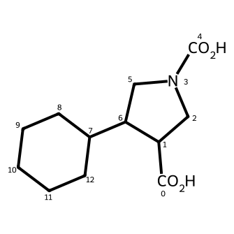 O=C(O)C1CN(C(=O)O)CC1C1CCCCC1